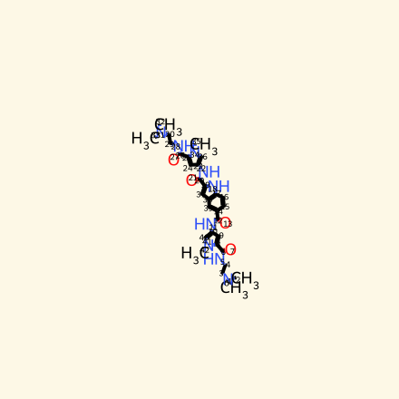 CN(C)CCNC(=O)c1cc(NC(=O)c2ccc3[nH]c(C(=O)Nc4cc(C(=O)NCCN(C)C)n(C)c4)cc3c2)cn1C